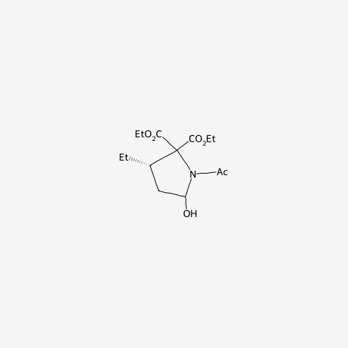 CCOC(=O)C1(C(=O)OCC)[C@@H](CC)CC(O)N1C(C)=O